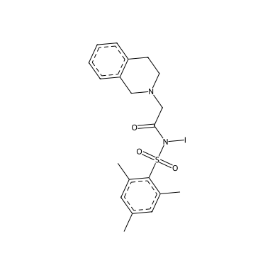 Cc1cc(C)c(S(=O)(=O)N(I)C(=O)CN2CCc3ccccc3C2)c(C)c1